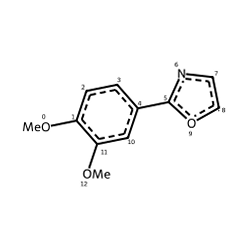 COc1ccc(-c2nc[c]o2)cc1OC